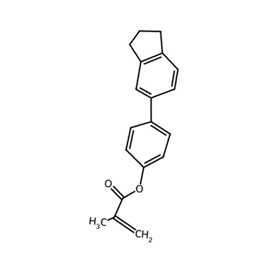 C=C(C)C(=O)Oc1ccc(-c2ccc3c(c2)CCC3)cc1